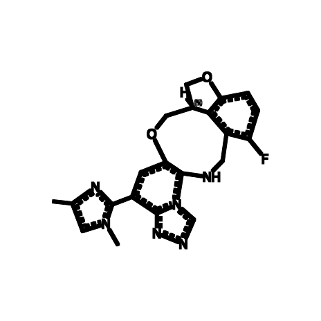 Cc1cn(C)c(-c2cc3c(n4cnnc24)NCc2c(F)ccc4c2[C@@H](CO4)CO3)n1